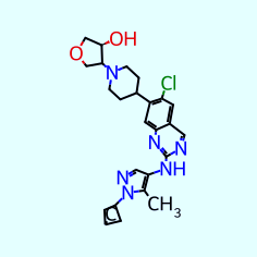 Cc1c(Nc2ncc3cc(Cl)c(C4CCN(C5COC[C@H]5O)CC4)cc3n2)cnn1C12CC(C1)C2